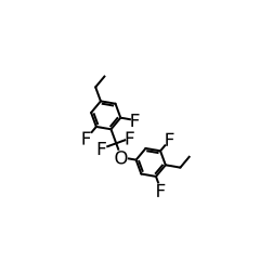 CCc1cc(F)c(C(F)(F)Oc2cc(F)c(CC)c(F)c2)c(F)c1